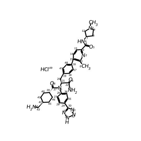 Cc1nc(C(=O)N[C@@H]2CCN(C)C2)ccc1-c1ccc(C[C@@H](C(N)=O)N(c2ccc(-c3nn[nH]n3)cc2)C(=O)[C@H]2CC[C@H](CN)CC2)cc1.Cl